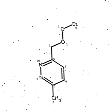 CCOOCc1ccc(C)nn1